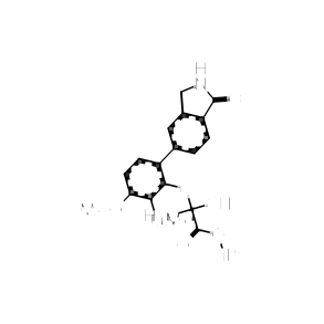 COc1ccc(-c2ccc3c(c2)CNC3=O)c(OC(C)(C)C(=O)OC(C)C)c1OC